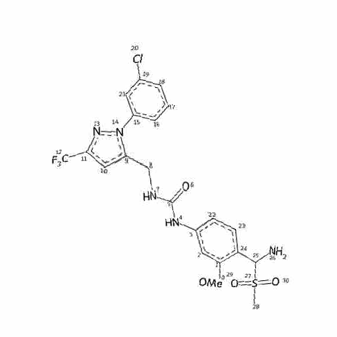 COc1cc(NC(=O)NCc2cc(C(F)(F)F)nn2-c2cccc(Cl)c2)ccc1C(N)S(C)(=O)=O